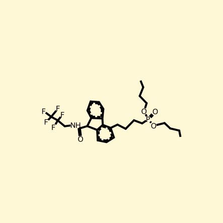 CCCCOP(=O)(CCCCc1cccc2c1-c1ccccc1C2C(=O)NCC(F)(F)C(F)(F)F)OCCCC